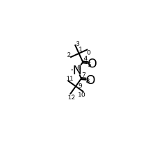 CC(C)(C)C(=O)[N]C(=O)C(C)(C)C